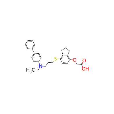 CCN(CCCSc1ccc(OCC(=O)O)c2c1CCC2)c1ccc(-c2ccccc2)cc1